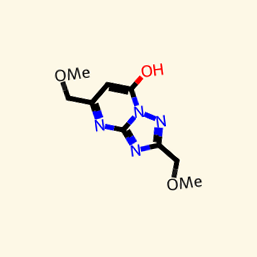 COCc1cc(O)n2nc(COC)nc2n1